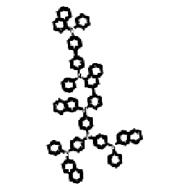 c1ccc(N(c2ccc(N(c3ccc(N(c4ccccc4)c4ccc5ccccc5c4)cc3)c3ccc(N(c4cccc(-c5cc(N(c6ccccc6)c6ccc(-c7ccc(N(c8ccccc8)c8cccc9ccccc89)cc7)cc6)c6ccccc6c5)c4)c4ccc5ccccc5c4)cc3)cc2)c2ccc3ccccc3c2)cc1